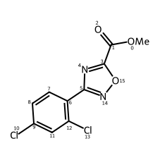 COC(=O)c1nc(-c2ccc(Cl)cc2Cl)no1